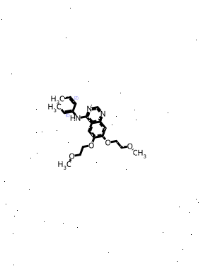 C/C=C\C(=C/C)Nc1ncnc2cc(OCCOC)c(OCCOC)cc12